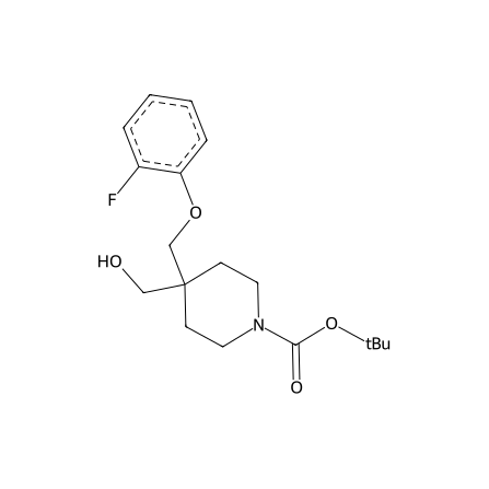 CC(C)(C)OC(=O)N1CCC(CO)(COc2ccccc2F)CC1